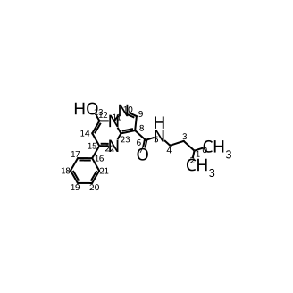 CC(C)CCNC(=O)c1cnn2c(O)cc(-c3ccccc3)nc12